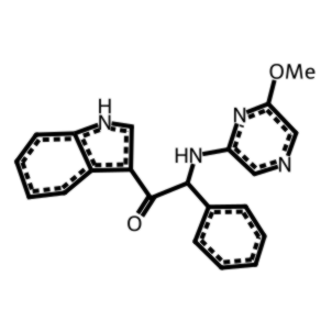 COc1cncc(NC(C(=O)c2c[nH]c3ccccc23)c2ccccc2)n1